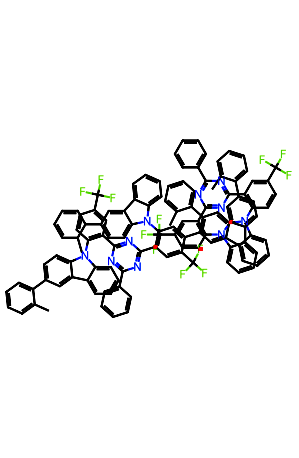 Cc1ccccc1-c1ccc2c(c1)c1ccccc1n2-c1ccc(C(F)(F)F)cc1-c1nc(-c2ccccc2)nc(-c2cc(C(F)(F)F)c(-c3cc4c5ccccc5n(-c5ccc(C(F)(F)F)cc5-c5nc(-c6ccccc6)nc(-c6cc(C(F)(F)F)ccc6-n6c7ccccc7c7ccc(-c8ccccc8C)cc76)n5)c4cc3-c3ccccc3C)cc2-n2c3ccccc3c3cc(C4C=CC=CC4C)ccc32)n1